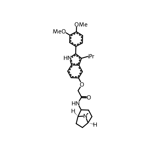 COc1ccc(-c2[nH]c3ccc(OCC(=O)NC4CC[C@H]5CC[C@@H]4N5C)cc3c2C(C)C)cc1OC